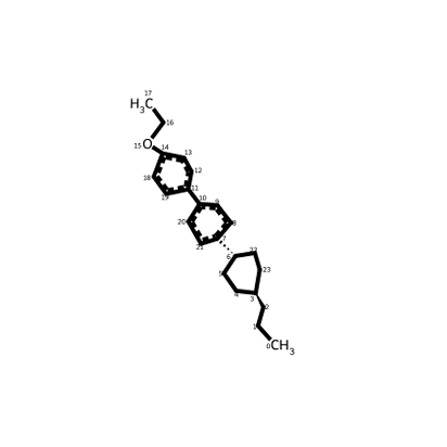 CCC[C@H]1CC[C@H](c2ccc(-c3ccc(OCC)cc3)cc2)CC1